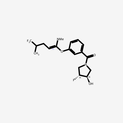 CN/C(=C\CC(C)C(F)(F)F)Oc1cccc(C(=O)N2C[C@@H](O)[C@H](F)C2)c1